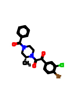 C[C@@H]1CN(C(=O)c2ccccc2)CCN1C(=O)C(=O)c1ccc(Br)c(Cl)c1